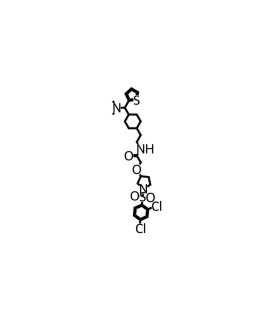 CN(C)C(c1cccs1)C1CCC(CCNC(=O)COC2CCN(S(=O)(=O)c3ccc(Cl)cc3Cl)C2)CC1